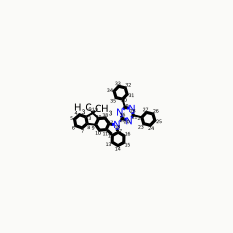 CC1(C)c2ccccc2-c2cc3c4ccccc4n(-c4nc(-c5ccccc5)nc(-c5ccccc5)n4)c3cc21